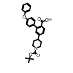 CC(C)(C)OC(=O)N1CCC(c2ccc(C(=O)O)c(-c3ccc(Oc4ccccc4)cc3)c2)CC1